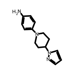 Nc1ccc(N2CCC(n3cccn3)CC2)cc1